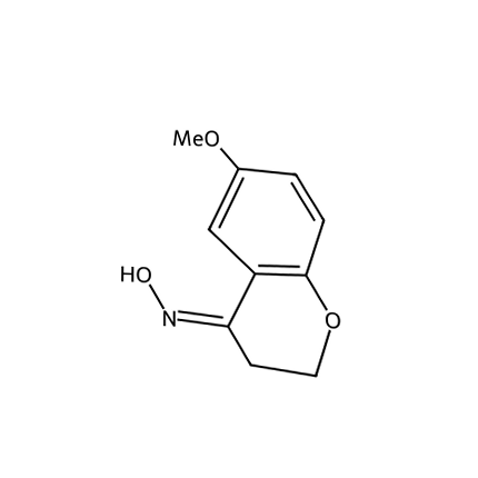 COc1ccc2c(c1)/C(=N\O)CCO2